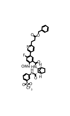 COc1cc(F)c(-c2ccc(CCC(=O)OCc3ccccc3)nc2)cc1C(=O)N[C@@H]1[C@H]2CC[C@H](C2)[C@@H]1C(=O)Nc1cccc(S(=O)(=O)C(F)(F)F)c1